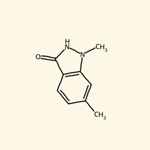 Cc1ccc2c(=O)[nH]n(C)c2c1